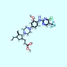 C=C1C(CC)CC(CCC(=O)OC)[C@H]1N1CCN(c2ccc(Nc3ncc(C(F)(F)F)c(Cl)n3)c(OC)c2)CC1